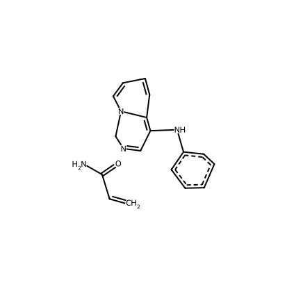 C1=CC2=C(Nc3ccccc3)C=NCN2C=C1.C=CC(N)=O